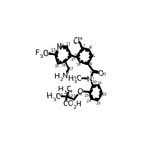 CN(C(=O)c1ccc(Cl)c(-c2cnc(C(F)(F)F)cc2CN)c1)c1ccccc1OCC(C)(C)C(=O)O